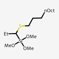 CCCCCCCCCC[CH]SC(CC)[Si](OC)(OC)OC